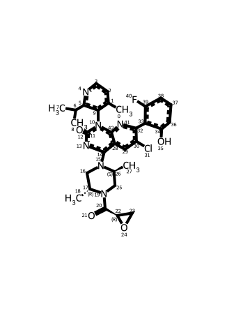 Cc1ccnc(C(C)C)c1-n1c(=O)nc(N2C[C@@H](C)N(C(=O)[C@H]3CO3)C[C@@H]2C)c2cc(Cl)c(-c3c(O)cccc3F)nc21